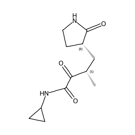 C[C@@H](C[C@@H]1CCNC1=O)C(=O)C(=O)NC1CC1